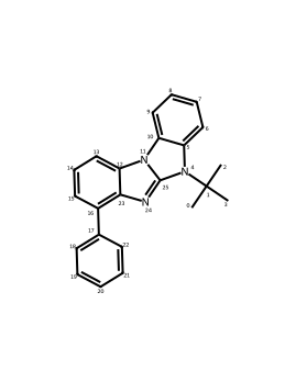 CC(C)(C)n1c2ccccc2n2c3cccc(-c4ccccc4)c3nc12